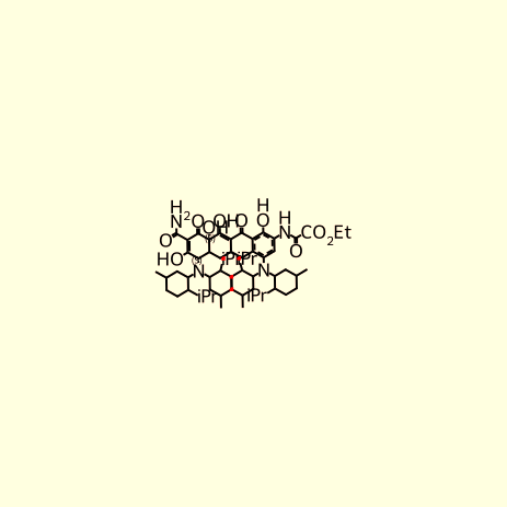 CCOC(=O)C(=O)Nc1cc(N(C2CC(C)CCC2C(C)C)C2CC(C)CCC2C(C)C)c2c(c1O)C(=O)C1=C(O)[C@]3(O)C(=O)C(C(N)=O)=C(O)[C@@H](N(C4CC(C)CCC4C(C)C)C4CC(C)CCC4C(C)C)C3CC1C2